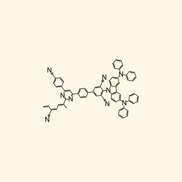 C=C/C(C#N)=C\C=C(/C)c1nc(-c2ccc(C#N)cc2)cc(-c2ccc(-c3cc(C#N)c(-n4c5ccc(N(c6ccccc6)c6ccccc6)cc5c5cc(N(c6ccccc6)c6ccccc6)ccc54)c(C#N)c3)cc2)n1